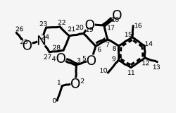 CCOC(=O)OC1=C(c2c(C)cc(C)cc2C)C(=O)OC1C1CCN(OC)CC1